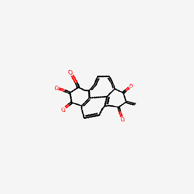 C=c1c(=O)c2ccc3c4c(ccc(c1=O)c42)C(=O)C(=O)C3=O